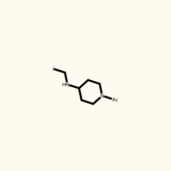 CC(=O)N1CCC(NCI)CC1